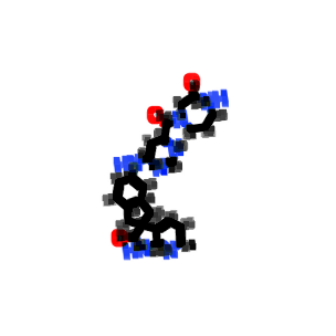 O=C1CN(C(=O)c2cc(Nc3ccc4c(c3)CC3(C4)C(=O)Nc4ncccc43)ncn2)CCCN1